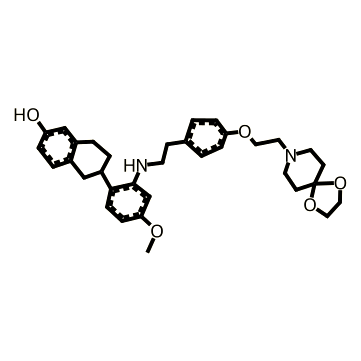 COc1ccc(C2CCc3cc(O)ccc3C2)c(NCCc2ccc(OCCN3CCC4(CC3)OCCO4)cc2)c1